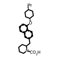 CC(C)[C@H]1CC[C@@H](Oc2cccc3cc(CC4CCCCN4C(=O)O)ccc23)CC1